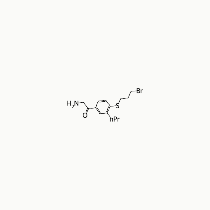 CCCc1cc(C(=O)CN)ccc1SCCCBr